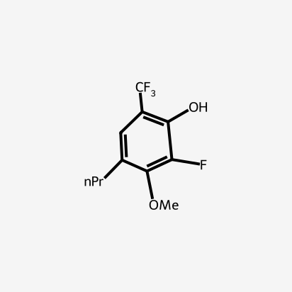 CCCc1cc(C(F)(F)F)c(O)c(F)c1OC